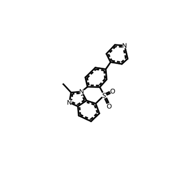 Cc1nc2cccc3c2n1-c1ccc(-c2ccncc2)cc1S3(=O)=O